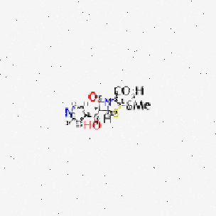 CSC1=C(C(=O)O)N2C(=O)[C@H](C(O)c3ccncc3)[C@H]2S1